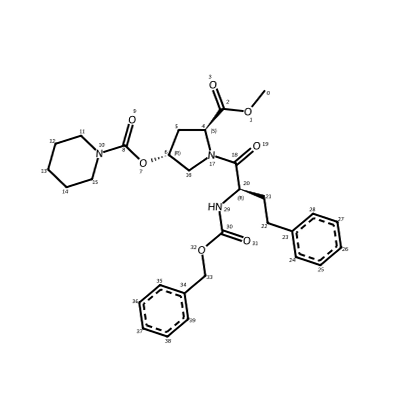 COC(=O)[C@@H]1C[C@@H](OC(=O)N2CCCCC2)CN1C(=O)[C@@H](CCc1ccccc1)NC(=O)OCc1ccccc1